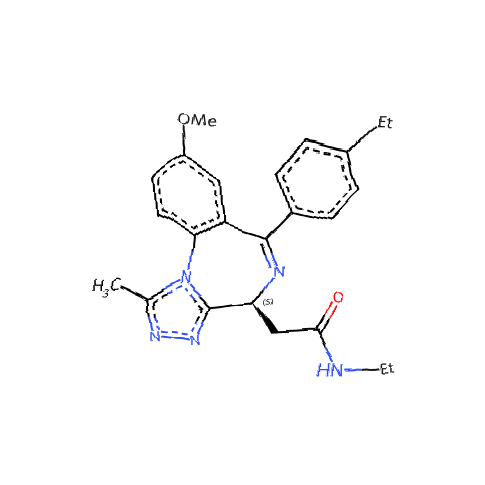 CCNC(=O)C[C@@H]1N=C(c2ccc(CC)cc2)c2cc(OC)ccc2-n2c(C)nnc21